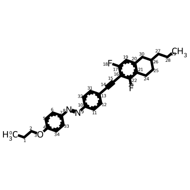 CCCOc1ccc(N=Nc2ccc(C#Cc3c(F)cc4c(c3F)CCC(CCC)C4)cc2)cc1